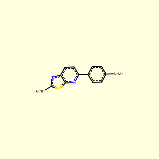 CC(=O)Nc1ccc(-c2ccc3nc(NC(C)=O)sc3n2)cc1